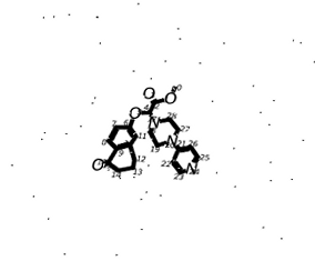 COC(=O)C(Oc1ccc2c(c1)CCCC2=O)N1CCN(c2ccncc2)CC1